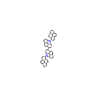 c1cc2ccc3ccc(-n4c5cccc6ccc7c(-c8ccc9c%10c8ccc8cccc(c8%10)n9-c8ccc9ccc%10cccc%11ccc8c9c%10%11)ccc4c7c65)c4ccc(c1)c2c34